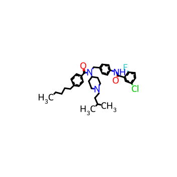 CCCCCc1ccc(C(=O)N(Cc2ccc(NC(=O)c3cc(Cl)ccc3F)cc2)C2CCN(CCC(C)C)CC2)cc1